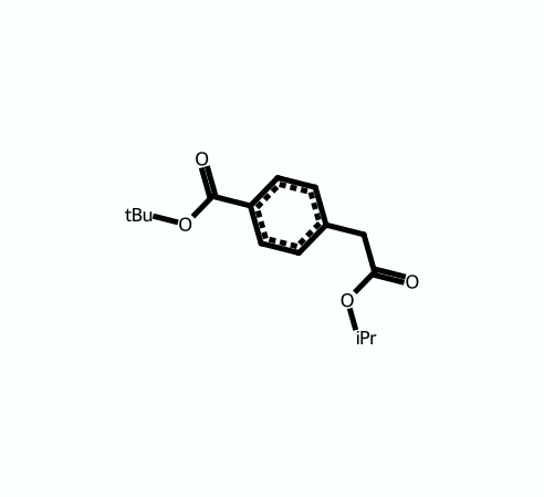 CC(C)OC(=O)Cc1ccc(C(=O)OC(C)(C)C)cc1